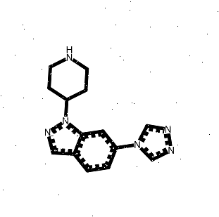 c1cc2cnn(C3CCNCC3)c2cc1-n1cnnc1